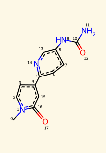 Cn1ccc(-c2ccc(NC(N)=O)cn2)cc1=O